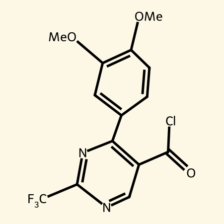 COc1ccc(-c2nc(C(F)(F)F)ncc2C(=O)Cl)cc1OC